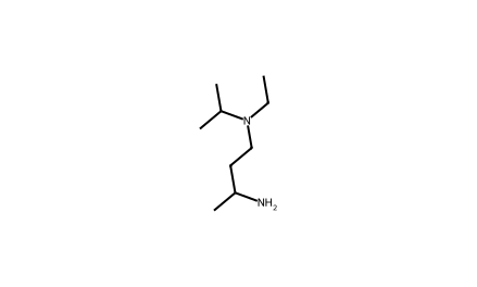 CCN(CCC(C)N)C(C)C